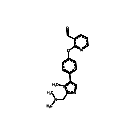 CN(C)Cc1ncc(-c2ccc(Oc3ncccc3C=O)cc2)n1C